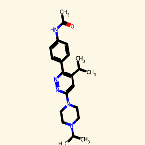 CC(=O)Nc1ccc(-c2nnc(N3CCN(C(C)C)CC3)cc2C(C)C)cc1